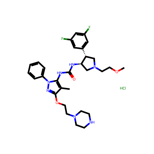 COCCN1C[C@@H](NC(=O)Nc2c(C)c(OCCN3CCNCC3)nn2-c2ccccc2)[C@H](c2cc(F)cc(F)c2)C1.Cl